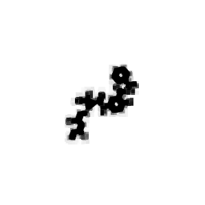 C=C/C(Cl)=C\C(Cl)=C/C[C@H]1[C@H](C(=O)Nc2ccc(Cl)c(C(=O)NN(C)c3ccccc3)c2)C1(Cl)Cl